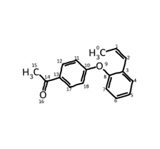 C/C=C\c1ccccc1Oc1ccc(C(C)=O)cc1